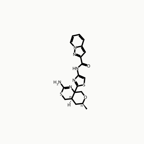 C[C@H]1C[C@H]2CSC(N)=NC2(c2nc(NC(=O)c3cc4ccccn4n3)cs2)CO1